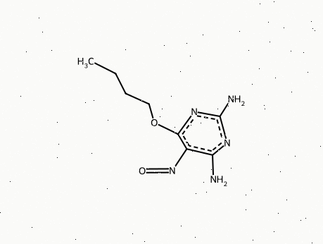 CCCCOc1nc(N)nc(N)c1N=O